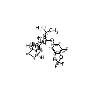 CC(C)n1nc(N[C@H]2[C@@H]3CC[C@H]2CN(C#N)C3)nc1Oc1ccc(OC(F)(F)F)c(F)c1